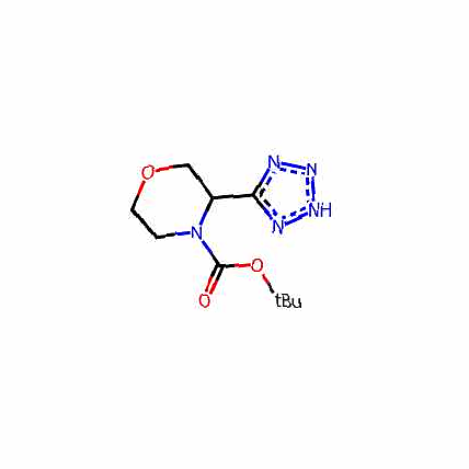 CC(C)(C)OC(=O)N1CCOCC1c1nn[nH]n1